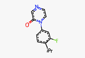 CC(C)c1ccc(-n2ccncc2=O)cc1F